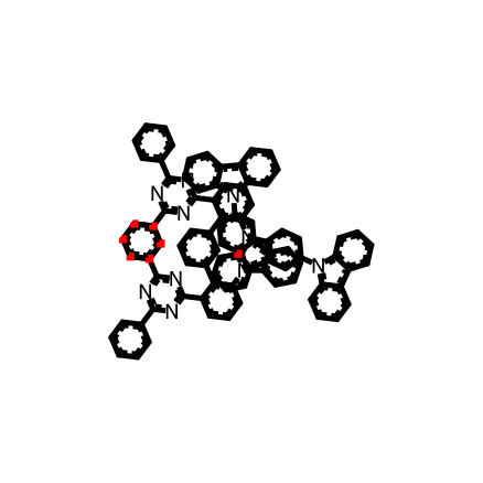 c1ccc(-c2nc(-c3ccccc3)nc(-c3cccc(-n4c5ccccc5c5cc(-n6c7ccccc7c7ccccc76)ccc54)c3-c3cccc(-c4c(-c5nc(-c6ccccc6)nc(-c6ccccc6)n5)cccc4-n4c5ccccc5c5cc(-n6c7ccccc7c7ccccc76)ccc54)c3)n2)cc1